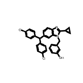 Oc1cccc(Cn2c(C3CC3)nc3ccc(C(c4ccc(Cl)cc4)c4ccc(Cl)cc4)cc32)c1